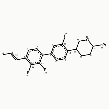 C/C=C/c1ccc(-c2ccc(C3CCC(CCC)OC3)c(F)c2)c(F)c1F